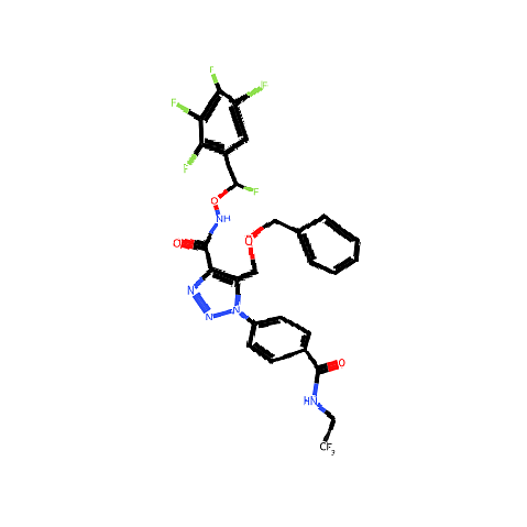 O=C(NCC(F)(F)F)c1ccc(-n2nnc(C(=O)NOC(F)c3cc(F)c(F)c(F)c3F)c2COCc2ccccc2)cc1